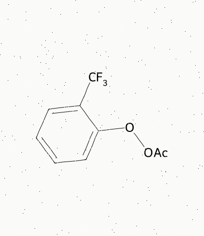 CC(=O)OOc1ccccc1C(F)(F)F